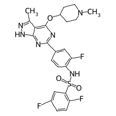 Cc1n[nH]c2nc(-c3ccc(NS(=O)(=O)c4cc(F)ccc4F)c(F)c3)nc(OC3CCN(C)CC3)c12